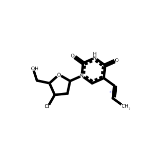 C/C=C/c1cn(C2CC(Cl)C(CO)O2)c(=O)[nH]c1=O